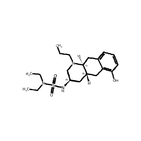 CCCN1C[C@H](NS(=O)(=O)N(CC)CC)C[C@H]2Cc3c(O)cccc3C[C@@H]21